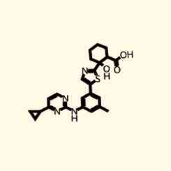 Cc1cc(Nc2nccc(C3CC3)n2)cc(-c2cnc(C3(O)CCCCC3C(=O)O)s2)c1